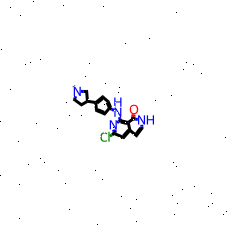 CN1CCC(c2ccc(Nc3nc(Cl)cc4cc[nH]c(=O)c34)cc2)C1